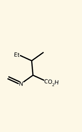 C=NC(C(=O)O)C(C)CC